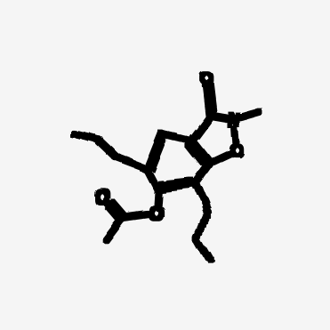 CCCc1cc2c(=O)n(C)oc2c(CCC)c1OC(C)=O